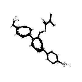 C=C(C)C(=O)OCc1cc(C2CCC(CCCCC)CC2)ccc1-c1ccc(CO)cc1